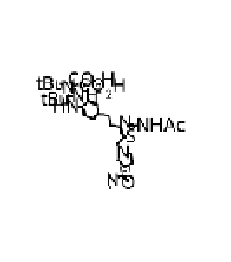 CC(=O)Nc1nc(CCc2ccc(NC(NC(=O)O)(N(C(=O)O)C(C)(C)C)C(C)(C)C)cc2)c(CN2CC[C@H](C(=O)N(C)C)C2)s1